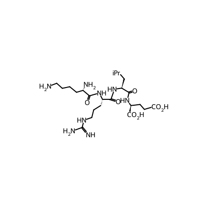 CC(C)C[C@H](NC(=O)[C@H](CCCNC(=N)N)NC(=O)[C@@H](N)CCCCN)C(=O)N[C@@H](CCC(=O)O)C(=O)O